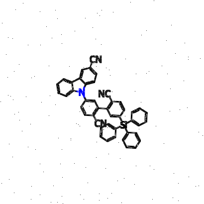 N#Cc1ccc2c(c1)c1ccccc1n2-c1ccc(C#N)c(-c2cc([Si](c3ccccc3)(c3ccccc3)c3ccccc3)ccc2C#N)c1